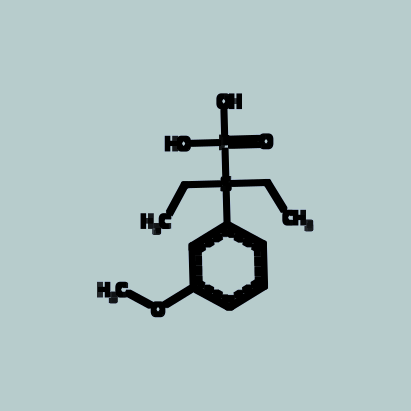 CCS(CC)(c1cccc(OC)c1)P(=O)(O)O